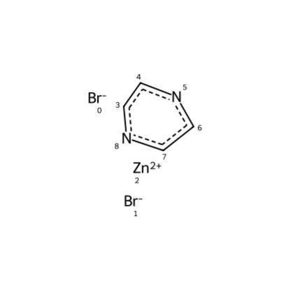 [Br-].[Br-].[Zn+2].c1cnccn1